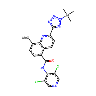 COc1ccc(C(=O)Nc2c(Cl)cncc2Cl)c2ccc(-c3nn[n]([Sn]([CH3])([CH3])[CH3])n3)nc12